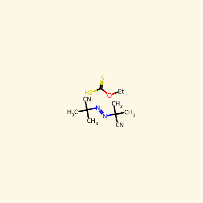 CC(C)(C#N)/N=N/C(C)(C)C#N.CCOC(=S)S